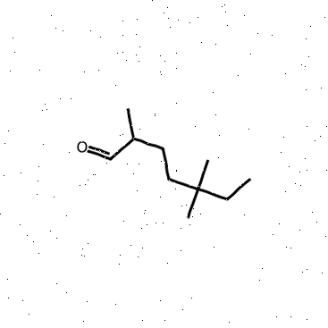 CCC(C)(C)CCC(C)C=O